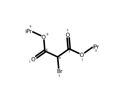 CC(C)OC(=O)C(Br)C(=O)OC(C)C